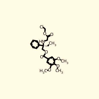 CC[C@@](COC(=O)c1cc(OC)c(OC)c(OC)c1)(NCC(=O)OCCl)c1ccccc1